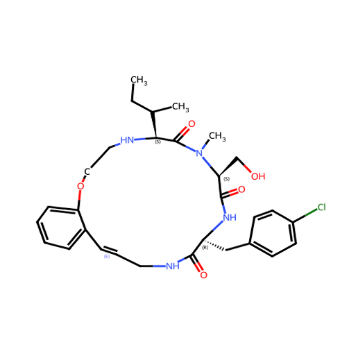 CCC(C)[C@@H]1NCCOc2ccccc2/C=C/CNC(=O)[C@@H](Cc2ccc(Cl)cc2)NC(=O)[C@H](CO)N(C)C1=O